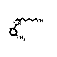 CCCCCCc1csc(-c2[c]ccc(C)c2)n1